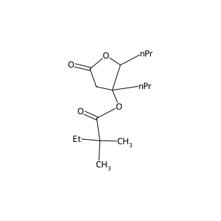 CCCC1OC(=O)CC1(CCC)OC(=O)C(C)(C)CC